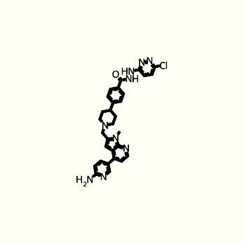 Cn1c(CN2CCC(c3ccc(C(=O)NNc4ccc(Cl)nn4)cc3)CC2)cc2c(-c3ccc(N)nc3)ccnc21